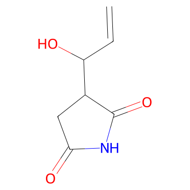 C=CC(O)C1CC(=O)NC1=O